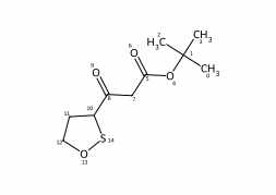 CC(C)(C)OC(=O)CC(=O)C1CCOS1